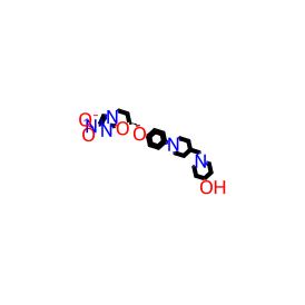 O=[N+]([O-])c1cn2c(n1)O[C@@H](COc1ccc(N3CCC(CN4CCC(O)CC4)CC3)cc1)CC2